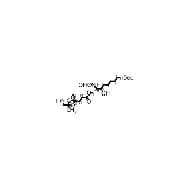 CCCCCCCCCCCCC/C=C/[C@@H](O)[C@H](COC(=O)CCC(=O)OC(C)(C)CO)NC=O